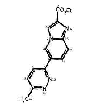 CCOC(=O)c1cn2cc(-c3ccc(C)nn3)ccc2n1